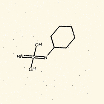 N=S(O)(O)=NC1CCCCC1